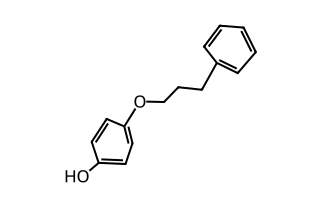 Oc1ccc(OCCCc2ccccc2)cc1